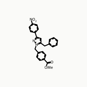 COC(=O)c1ccc(Cn2nc(-c3ccc([N+](=O)[O-])cc3)cc2Cc2ccccc2)cc1